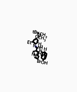 CCc1cc(O[Si](C)(C)C(C)(C)C)ccc1/N=C(\N)c1cnn2cc(Br)cc2c1NC1[C@@H]2CC3C[C@H]1CC(O)(C3)C2